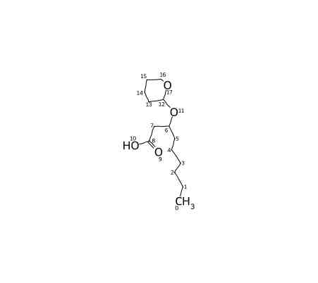 CCCCCCC(CC(=O)O)OC1CCCCO1